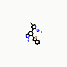 Cc1cnc(N)c(-c2cc(-c3cc4ccccc4s3)c3[nH]ncc3c2)c1